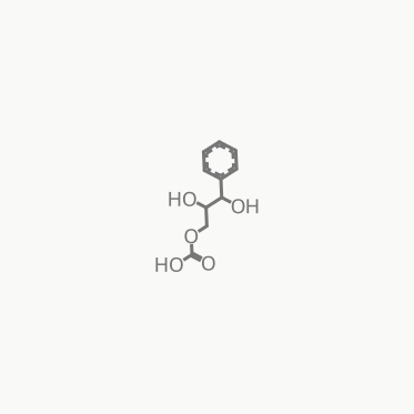 O=C(O)OCC(O)C(O)c1ccccc1